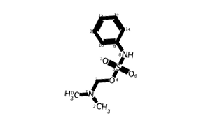 CN(C)COS(=O)(=O)Nc1ccccc1